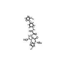 Cc1cc([C@H](C(=O)N2C[C@H](O)C[C@H]2C(=O)NCc2ccc(-c3ocnc3C)cc2)C(C)(C)C)on1